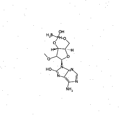 B[PH]1(O)OC[C@H]2O[C@@H](n3c(O)nc4c(N)ncnc43)C(OC)[C@@H]2O1